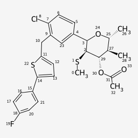 CS[C@H]1C(c2ccc(Cl)c(Cc3ccc(-c4ccc(F)cc4)s3)c2)O[C@H](C)[C@@H](C)[C@@H]1OC(C)=O